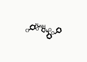 O=C(c1ccccc1OCc1ccccc1)N1CCC(Nc2nc3ccc(Cl)cc3o2)C1